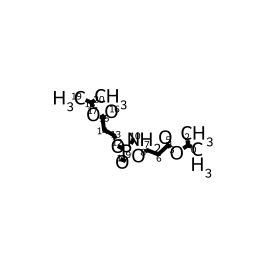 CC(C)OC(=O)CCOP(N)(=O)OCCC(=O)OC(C)C